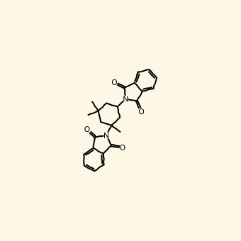 CC1(C)CC(N2C(=O)c3ccccc3C2=O)CC(C)(N2C(=O)c3ccccc3C2=O)C1